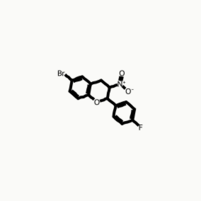 O=[N+]([O-])C1Cc2cc(Br)ccc2OC1c1ccc(F)cc1